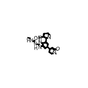 CCNC(=O)Nc1nc2cc(-c3ccn(C)c(=O)c3)cc(-c3ncccc3F)c2[nH]1